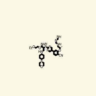 CCOCCOC(=N)/C(=C\N[C@H]1CC[C@H](N2CCOCC2)CC1)Nc1ncc(-c2ccc(C#N)c(O[C@@H](C)CN/C=N\C=N)c2)cn1